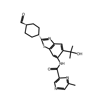 Cc1cncc(C(=O)Nc2cc3sc([C@H]4CC[C@H](C=O)CC4)nc3cc2C(C)(C)O)n1